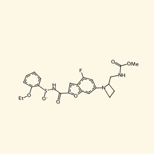 CCOc1ccccc1[S+]([O-])NC(=O)c1cc2c(F)cc(N3CCC3CNC(=O)OC)cc2o1